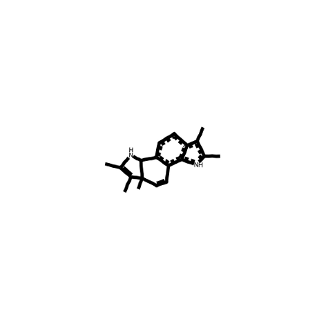 CC1=C(C)C2(C)C=Cc3c(ccc4c(C)c(C)[nH]c34)C2N1